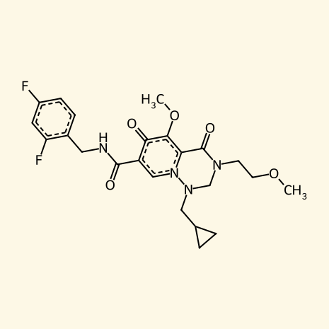 COCCN1CN(CC2CC2)n2cc(C(=O)NCc3ccc(F)cc3F)c(=O)c(OC)c2C1=O